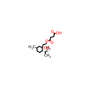 CC(C)[C@@H]1CC[C@@H](C)C[C@@]1(O)CCOC(=O)CCC(=O)O